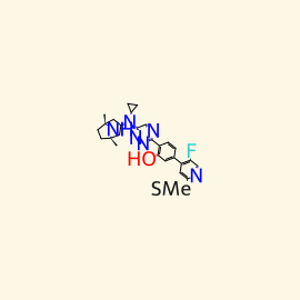 CSc1cc(-c2ccc(-c3ncc(N(C4CC4)[C@H]4C[C@]5(C)CC[C@](C)(C4)N5)nn3)c(O)c2)c(F)cn1